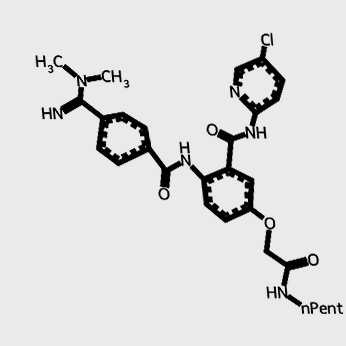 CCCCCNC(=O)COc1ccc(NC(=O)c2ccc(C(=N)N(C)C)cc2)c(C(=O)Nc2ccc(Cl)cn2)c1